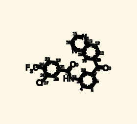 O=C(Nc1cccc(C(=O)c2ccc3nccnc3c2)c1)c1ccc(C(F)(F)F)c(Cl)c1